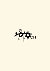 CC(C)N1C(=O)CC(Cc2ccc(O)cc2O)C1=O